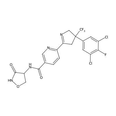 O=C(NC1CONC1=O)c1ccc(C2=NCC(c3cc(Cl)c(F)c(Cl)c3)(C(F)(F)F)C2)nc1